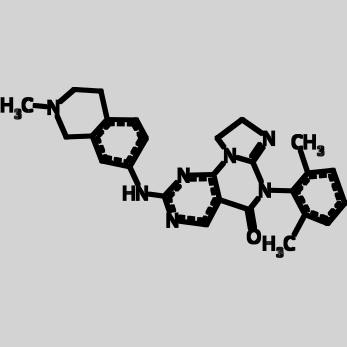 Cc1cccc(C)c1N1C(=O)c2cnc(Nc3ccc4c(c3)CN(C)CC4)nc2N2CCN=C21